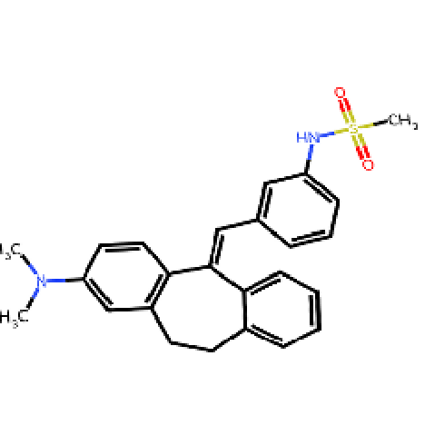 CN(C)c1ccc2c(c1)CCc1ccccc1C2=Cc1cccc(NS(C)(=O)=O)c1